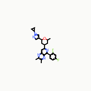 Cc1nc2cc(C3CC(C)OC(c4cnn(C5CC5)c4)C3)nc(-c3ccc(F)cc3F)c2nc1C